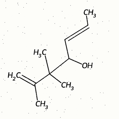 C=C(C)C(C)(C)C(O)C=CC